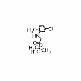 Cc1ccc(Cl)cc1NCC(=O)OC(C)(C)C